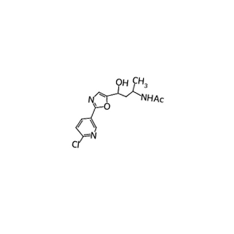 CC(=O)NC(C)CC(O)c1cnc(-c2ccc(Cl)nc2)o1